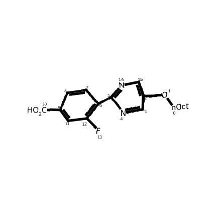 CCCCCCCCOc1cnc(-c2ccc(C(=O)O)cc2F)nc1